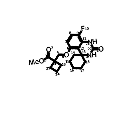 COC(=O)C1(COc2ccc(F)c3c2C2(CCCCC2)NC(=O)N3)CCC1